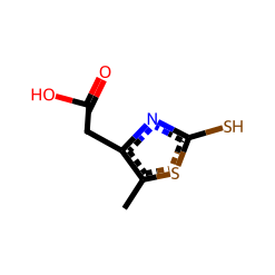 Cc1sc(S)nc1CC(=O)O